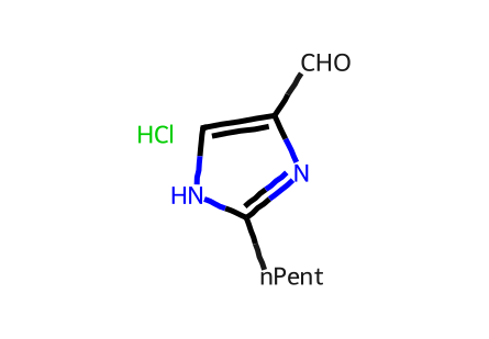 CCCCCc1nc(C=O)c[nH]1.Cl